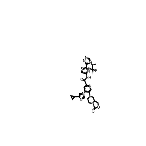 C[C@H](n1cnnc1-c1nc(NC(=O)c2cc(-n3cnc(C4CC4)c3)c(N3CCN4C(=O)OCC4C3)cn2)cs1)C(F)(F)F